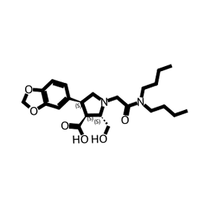 CCCCN(CCCC)C(=O)CN1C[C@H](c2ccc3c(c2)OCO3)[C@H](C(=O)O)[C@H]1CO